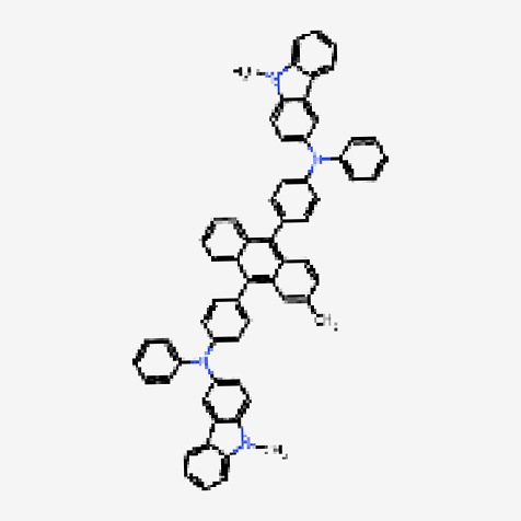 Cc1ccc2c(-c3ccc(N(c4ccccc4)c4ccc5c(c4)c4ccccc4n5C)cc3)c3ccccc3c(-c3ccc(N(c4ccccc4)c4ccc5c(c4)c4ccccc4n5C)cc3)c2c1